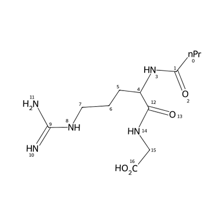 CCCC(=O)NC(CCCNC(=N)N)C(=O)NCC(=O)O